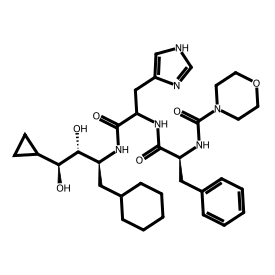 O=C(N[C@@H](CC1CCCCC1)[C@@H](O)[C@@H](O)C1CC1)C(Cc1c[nH]cn1)NC(=O)[C@H](Cc1ccccc1)NC(=O)N1CCOCC1